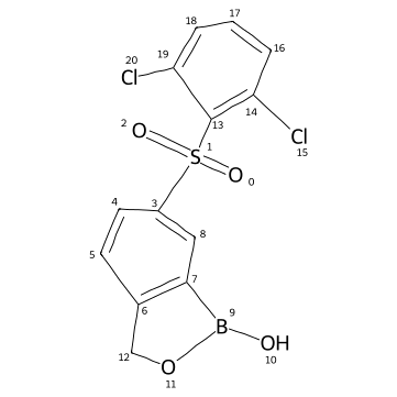 O=S(=O)(c1ccc2c(c1)B(O)OC2)c1c(Cl)cccc1Cl